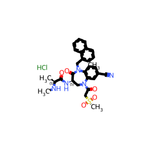 CN[C@@H](C)C(=O)N[C@H]1CN(C(=O)CS(C)(=O)=O)c2cc(C#N)ccc2N(Cc2c(C)ccc3ccccc23)C1=O.Cl